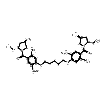 C=C1C[C@@H](CO)N(C(=O)c2cc(OC)c(OCCCCCOc3cc(N)c(C(=O)N4CC(=C)C[C@H]4CO)cc3OC)cc2N)C1